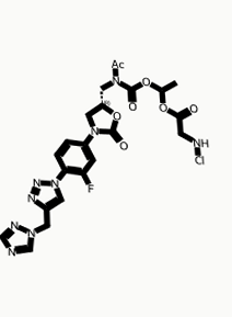 CC(=O)N(C[C@H]1CN(c2ccc(-n3cc(Cn4cncn4)nn3)c(F)c2)C(=O)O1)C(=O)OC(C)OC(=O)CNCl